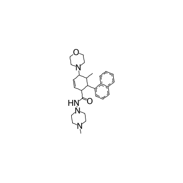 CC1C(c2cccc3ccccc23)C(C(=O)NN2CCN(C)CC2)C=CC1N1CCOCC1